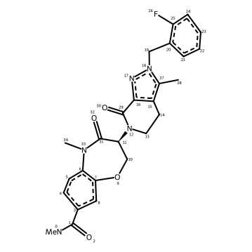 CNC(=O)c1ccc2c(c1)OC[C@H](N1CCc3c(nn(Cc4ccccc4F)c3C)C1=O)C(=O)N2C